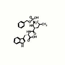 CC(C)C[C@H](NCP(=O)(O)OCc1ccccc1)C(=O)N[C@@H](Cc1c[nH]c2ccccc12)C(=O)O